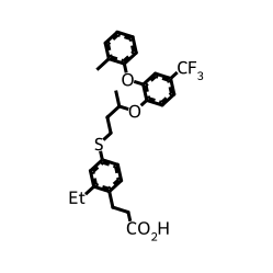 CCc1cc(SCCC(C)Oc2ccc(C(F)(F)F)cc2Oc2ccccc2C)ccc1CCC(=O)O